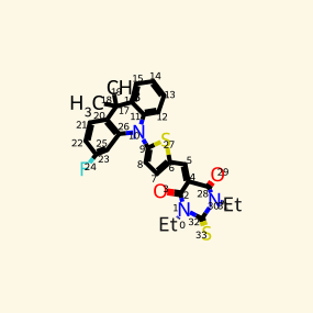 CCN1C(=O)C(=Cc2ccc(N3c4ccccc4C(C)(C)c4ccc(F)cc43)s2)C(=O)N(CC)C1=S